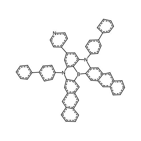 c1ccc(-c2ccc(N3c4cc5cc6ccccc6cc5cc4B4c5cc6cc7ccccc7cc6cc5N(c5ccc(-c6ccccc6)cc5)c5cc(-c6ccncc6)cc3c54)cc2)cc1